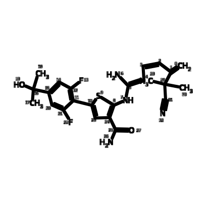 C=C(/C=C\C=C(/N)Nc1sc(-c2c(F)cc(C(C)(C)O)cc2F)cc1C(N)=O)C(C)(C)C#N